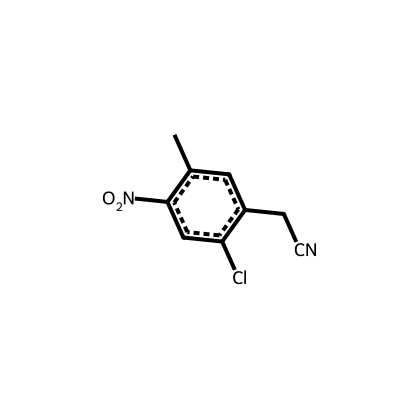 Cc1cc(CC#N)c(Cl)cc1[N+](=O)[O-]